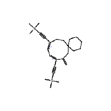 C=C1CC2(CCCCC2)CC/C(C#C[Si](C)(C)C)=C\C=C/1C#C[Si](C)(C)C